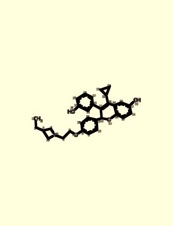 CCC1CN(CCOc2ccc(C3Oc4ccc(O)cc4C(C4CC4)=C3c3cccc(O)c3)cc2)C1